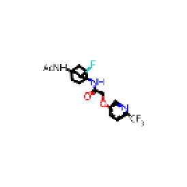 CC(=O)NC12CCC(NC(=O)COc3ccc(C(F)(F)F)nc3)(CC1)C(F)C2